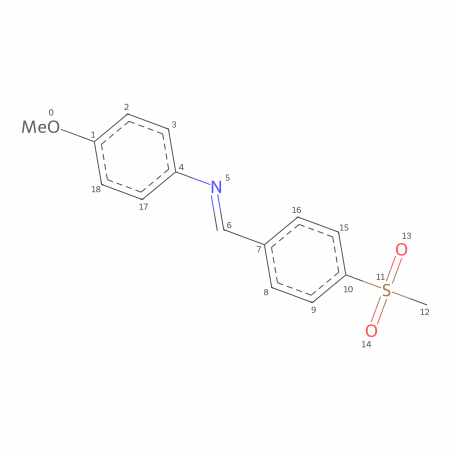 COc1ccc(/N=C/c2ccc(S(C)(=O)=O)cc2)cc1